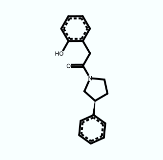 O=C(Cc1ccccc1O)N1CC[C@@H](c2ccccc2)C1